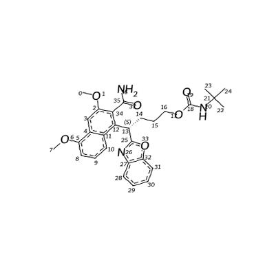 COc1cc2c(OC)cccc2c([C@H](CCCOC(=O)NC(C)(C)C)c2nc3ccccc3o2)c1C(N)=O